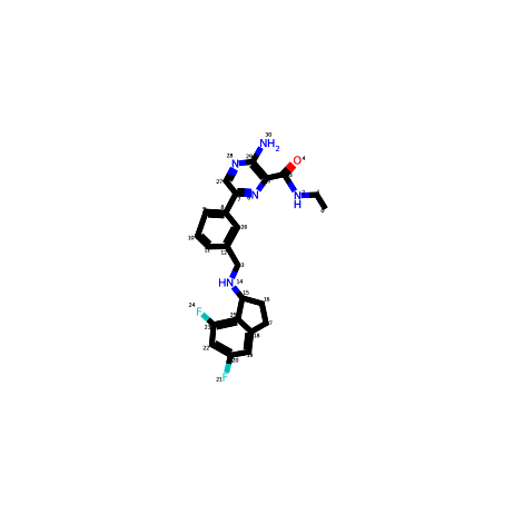 CCNC(=O)c1nc(-c2cccc(CNC3CCc4cc(F)cc(F)c43)c2)cnc1N